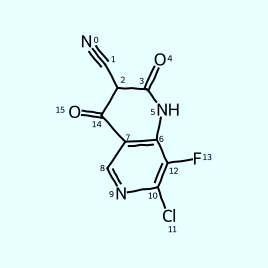 N#CC1C(=O)Nc2c(cnc(Cl)c2F)C1=O